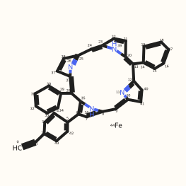 C#Cc1ccc(-c2cc3cc4nc(c(-c5ccccc5)c5ccc(cc6nc(c(-c7ccccc7)c2[nH]3)C=C6)[nH]5)C=C4)cc1.[Fe]